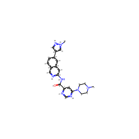 CN1CCN(c2cc(C(=O)Nc3cc4cc(-c5cnn(C)c5)ccc4cn3)ncn2)CC1